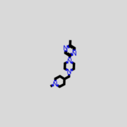 Cc1cnc(N2CCN(CC3CCN(C)CC3)CC2)cn1